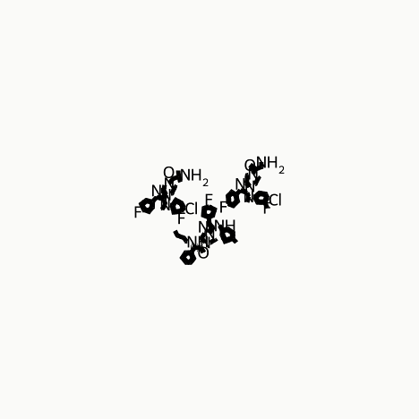 CCCCN[C@H](C(=O)N1CCn2c(nc(-c3ccc(F)cc3)c2Nc2ccc(C)cc2)C1)c1ccccc1.CN(c1ccc(Cl)c(F)c1)c1c(-c2ccc(F)cc2)nc2n1CCN(C(=O)C(C)(C)N)C2.CN(c1ccc(Cl)c(F)c1)c1c(-c2ccc(F)cc2)nc2n1CCN(C(=O)CN)C2